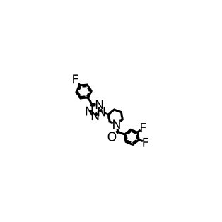 O=C(c1ccc(F)c(F)c1)N1CCC[C@H](n2nnc(-c3ccc(F)cc3)n2)C1